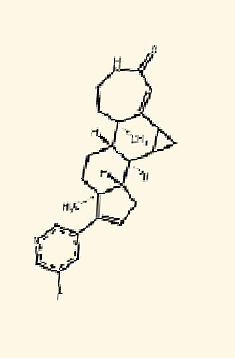 C[C@]12CCNC(=O)C=C1C1CC1[C@@H]1[C@@H]2CC[C@]2(C)C(c3cncc(F)c3)=CC[C@@H]12